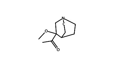 COC1(C(C)=O)CN2CCC1CC2